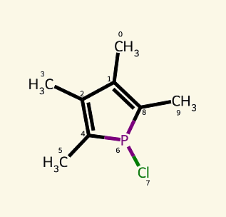 Cc1c(C)c(C)p(Cl)c1C